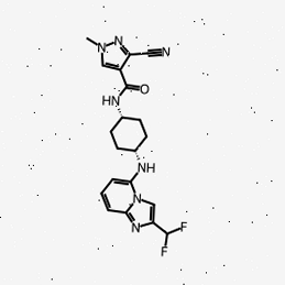 Cn1cc(C(=O)N[C@H]2CC[C@@H](Nc3cccc4nc(C(F)F)cn34)CC2)c(C#N)n1